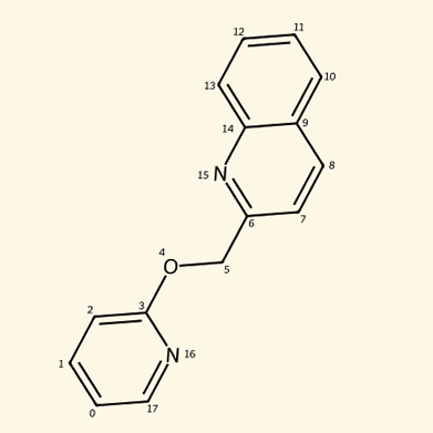 c1ccc(OCc2ccc3ccccc3n2)nc1